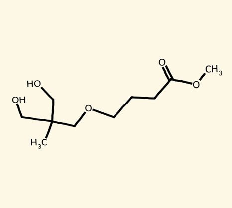 COC(=O)CCCOCC(C)(CO)CO